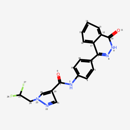 O=C(Nc1ccc(-c2n[nH]c(=O)c3ccccc23)cc1)c1cnn(CC(F)F)c1